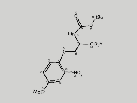 COc1ccc(OCC(NC(=O)OC(C)(C)C)C(=O)O)c([N+](=O)[O-])c1